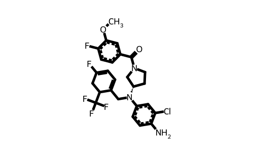 COc1cc(C(=O)N2CC[C@H](N(CC3=CC=C(F)CC3C(F)(F)F)c3ccc(N)c(Cl)c3)C2)ccc1F